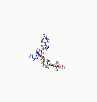 CN1CCC(c2ncc(-c3cnc(N)c(OCc4cccc(C#CC(C)(C)O)c4)c3)s2)CC1